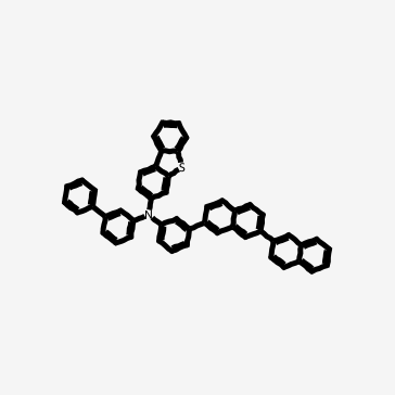 c1ccc(-c2cccc(N(c3cccc(-c4ccc5ccc(-c6ccc7ccccc7c6)cc5c4)c3)c3ccc4c(c3)sc3ccccc34)c2)cc1